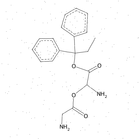 CCC(OC(=O)C(N)OC(=O)CN)(c1ccccc1)c1ccccc1